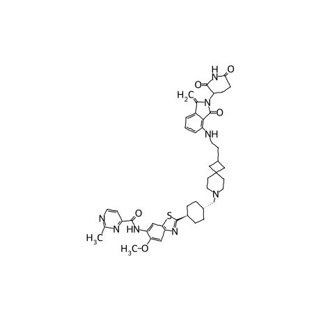 C=C1c2cccc(NCCC3CC4(CCN(C[C@H]5CC[C@H](c6nc7cc(OC)c(NC(=O)c8ccnc(C)n8)cc7s6)CC5)CC4)C3)c2C(=O)N1C1CCC(=O)NC1=O